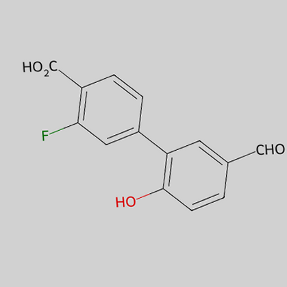 O=Cc1ccc(O)c(-c2ccc(C(=O)O)c(F)c2)c1